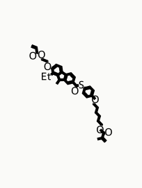 C=CC(=O)OCCOc1ccc2c(c1CC)C(C)c1cc(C(=O)Sc3ccc(OCCCCCCOC(=O)C(=C)C)cc3)ccc1-2